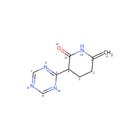 C=C1CCC(c2ncncn2)C(=O)N1